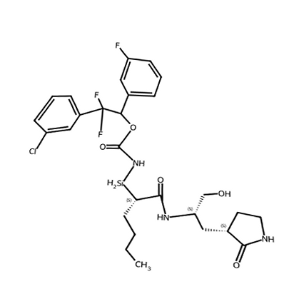 CCCC[C@H]([SiH2]NC(=O)OC(c1cccc(F)c1)C(F)(F)c1cccc(Cl)c1)C(=O)N[C@H](CO)C[C@@H]1CCNC1=O